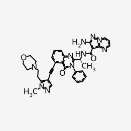 C[C@@H](NC(=O)c1c(N)nn2cccnc12)c1nc2cccc(C#Cc3cnn(C)c3CCN3CCOCC3)c2c(=O)n1-c1ccccc1